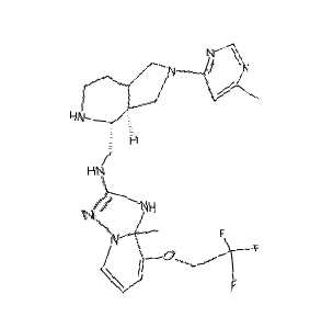 Cc1cc(N2CC3CCN[C@@H](CNC4=NN5C=CC=C(OCC(F)(F)F)C5(C)N4)[C@@H]3C2)ncn1